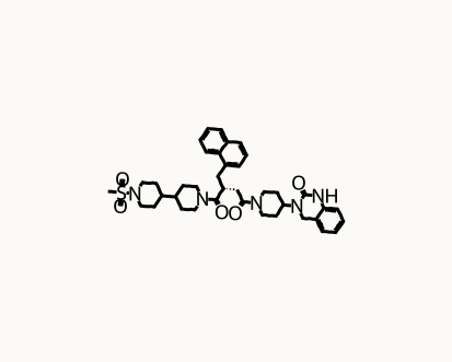 CS(=O)(=O)N1CCC(C2CCN(C(=O)[C@@H](CC(=O)N3CCC(N4Cc5ccccc5NC4=O)CC3)Cc3cccc4ccccc34)CC2)CC1